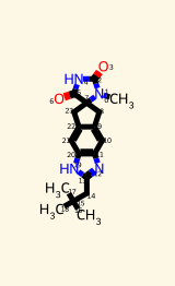 CN1C(=O)NC(=O)C12Cc1cc3nc(CC(C)(C)C)[nH]c3cc1C2